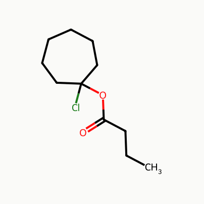 CCCC(=O)OC1(Cl)CCCCCC1